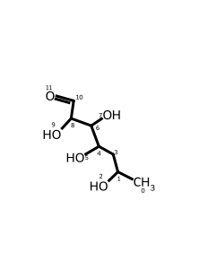 CC(O)CC(O)C(O)C(O)C=O